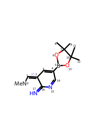 CN/C=C1/C=C(B2OC(C)(C)C(C)(C)O2)C=NC1=N